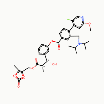 COc1cc(-c2ccc(C(=O)Oc3cccc([C@H](O)[C@H](C)C(=O)OCc4oc(=O)oc4C)c3)cc2CN(C(C)C)C(C)C)c(F)cn1